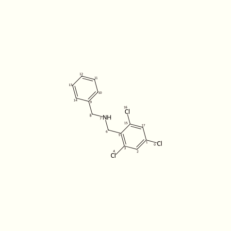 Clc1cc(Cl)c(CN[CH]c2ccccc2)c(Cl)c1